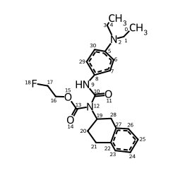 CCN(CC)c1ccc(NC(=O)N(C(=O)OCCF)C2CCc3ccccc3C2)cc1